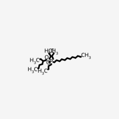 CCCCCCCCCCCCP(CCCC)(CCCC)(CCCC)OC(=O)C(CC)CCCC